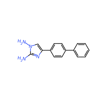 Nc1nc(-c2ccc(-c3ccccc3)cc2)cn1N